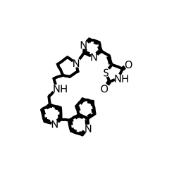 O=C1NC(=O)C(=Cc2ccnc(N3CCC(CNCc4ccnc(-c5ccnc6ccccc56)c4)CC3)n2)S1